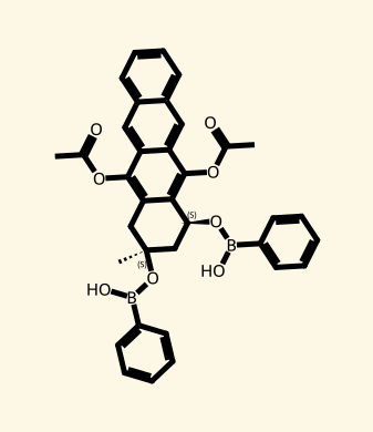 CC(=O)Oc1c2c(c(OC(C)=O)c3cc4ccccc4cc13)[C@@H](OB(O)c1ccccc1)C[C@@](C)(OB(O)c1ccccc1)C2